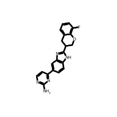 Nc1nccc(-c2ccc3[nH]c(C4COc5c(F)cccc5C4)nc3c2)n1